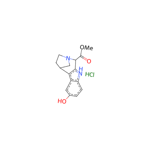 COC(=O)C1c2[nH]c3ccc(O)cc3c2C2CCN1C2.Cl